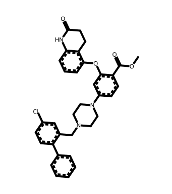 COC(=O)c1ccc(N2CCN(Cc3cc(Cl)ccc3-c3ccccc3)CC2)cc1Oc1cccc2c1CCC(=O)N2